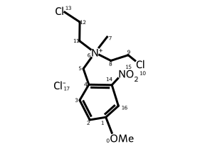 COc1ccc(C[N+](C)(CCCl)CCCl)c([N+](=O)[O-])c1.[Cl-]